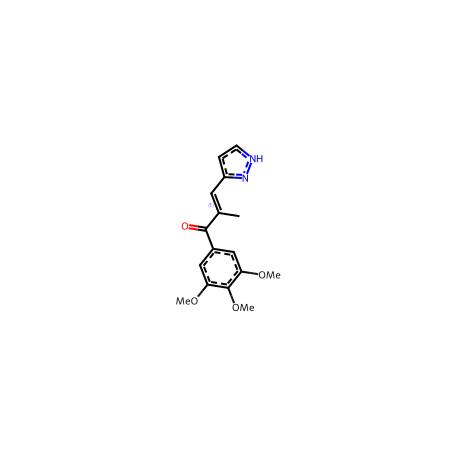 COc1cc(C(=O)/C(C)=C/c2cc[nH]n2)cc(OC)c1OC